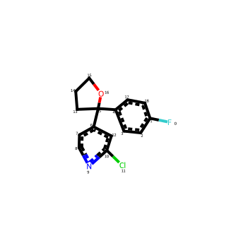 Fc1ccc(C2(c3ccnc(Cl)c3)CCCO2)cc1